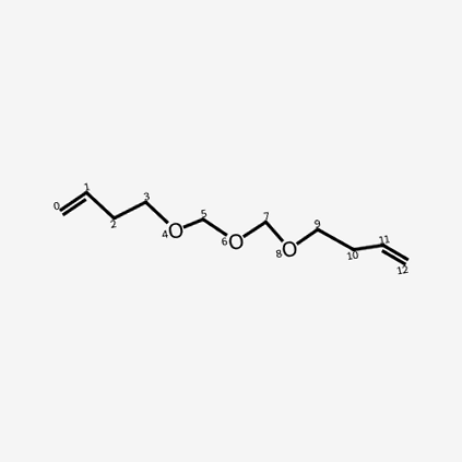 C=CCCOCOCOCCC=C